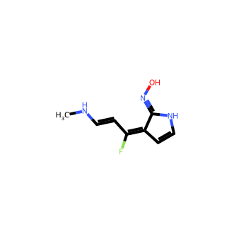 CN/C=C/C(F)=C1/C=CN/C1=N\O